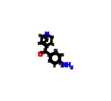 Nc1ccc(C(=O)C23CCN(CC2)CC3)cc1